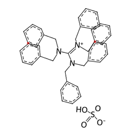 O=S(=O)([O-])O.c1ccc(CN(Cc2ccccc2)C(N(Cc2ccccc2)Cc2ccccc2)=[N+](Cc2ccccc2)Cc2ccccc2)cc1